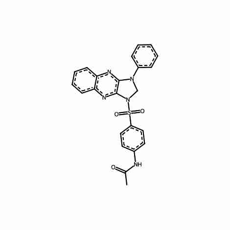 CC(=O)Nc1ccc(S(=O)(=O)N2CN(c3ccccc3)c3nc4ccccc4nc32)cc1